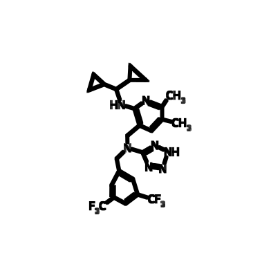 Cc1cc(CN(Cc2cc(C(F)(F)F)cc(C(F)(F)F)c2)c2nn[nH]n2)c(NC(C2CC2)C2CC2)nc1C